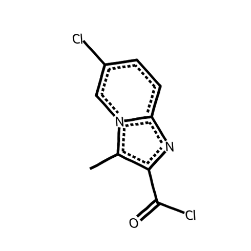 Cc1c(C(=O)Cl)nc2ccc(Cl)cn12